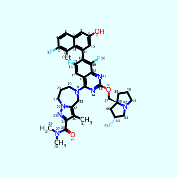 CCc1c(F)ccc2cc(O)cc(-c3c(F)cc4c(N5CCCn6nc(C(=O)N(C)C)c(C)c6C5)nc(OC[C@@]56CCCN5C[C@H](F)C6)nc4c3F)c12